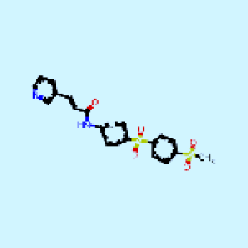 CS(=O)(=O)c1ccc(S(=O)(=O)c2ccc(NC(=O)/C=C/c3cccnc3)cc2)cc1